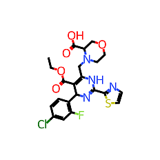 CCOC(=O)C1=C(CN2CCOCC2C(=O)O)NC(c2nccs2)=NC1c1ccc(Cl)cc1F